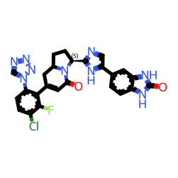 O=C1C=C(c2c(-n3cnnn3)ccc(Cl)c2F)CC2CC[C@@H](c3ncc(-c4ccc5[nH]c(=O)[nH]c5c4)[nH]3)N12